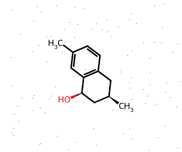 Cc1ccc2c(c1)[C@H](O)C[C@H](C)C2